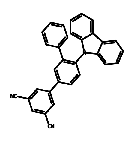 N#Cc1cc(C#N)cc(-c2ccc(-n3c4ccccc4c4ccccc43)c(-c3ccccc3)c2)c1